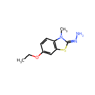 CCOc1ccc2c(c1)s/c(=N/N)n2C